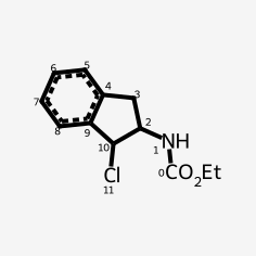 CCOC(=O)NC1Cc2ccccc2C1Cl